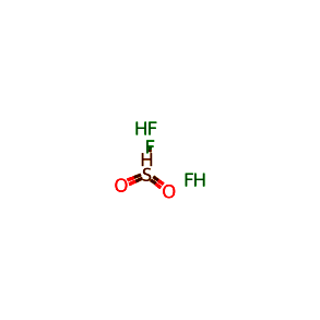 F.F.O=[SH](=O)F